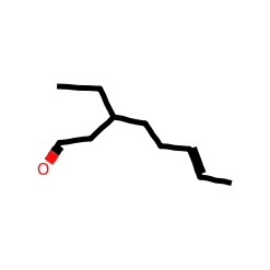 C/C=C/CCC(CC)CC=O